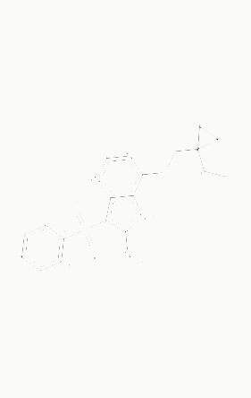 Nc1[nH]c2c(OCC3(CI)CC3)ncnc2c1S(=O)(=O)c1ccccc1